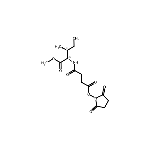 CC[C@H](C)[C@H](NC(=O)CCC(=O)ON1C(=O)CCC1=O)C(=O)OC